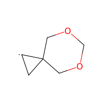 [CH]1CC12COCOC2